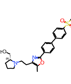 COC[C@H]1CCCN1CCc1nc(-c2ccc(-c3ccc(S(C)(=O)=O)cc3)cc2)oc1C